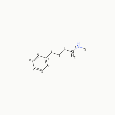 CN[SiH2]CCCc1ccccc1